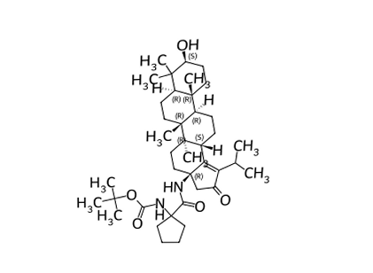 CC(C)C1=C2[C@H]3CC[C@@H]4[C@@]5(C)CC[C@H](O)C(C)(C)[C@@H]5CC[C@@]4(C)[C@]3(C)CC[C@@]2(NC(=O)C2(NC(=O)OC(C)(C)C)CCCC2)CC1=O